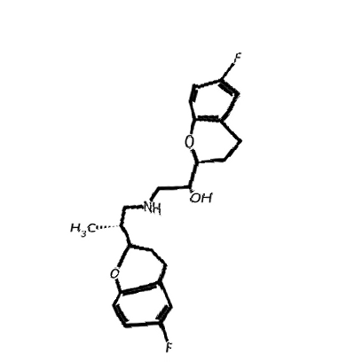 C[C@H](CNC[C@@H](O)[C@@H]1CCc2cc(F)ccc2O1)C1CCc2cc(F)ccc2O1